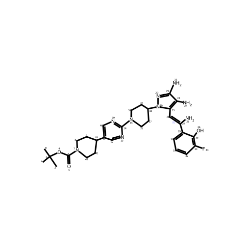 CC(C)(C)OC(=O)N1CCC(c2cnc(N3CCC(n4nc(N)c(N)c4/C=C(\N)c4cccc(F)c4O)CC3)nc2)CC1